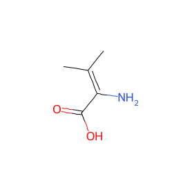 CC(C)=C(N)C(=O)O